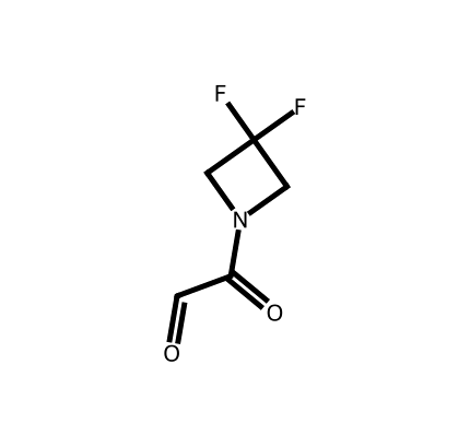 O=CC(=O)N1CC(F)(F)C1